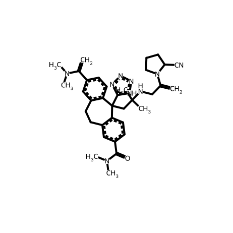 C=C(c1ccc2c(c1)CCc1cc(C(=O)N(C)C)ccc1C2(CC(C)(C)NCC(=C)N1CCCC1C#N)c1nnn[nH]1)N(C)C